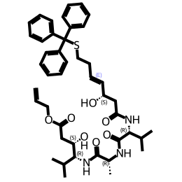 C=CCOC(=O)C[C@H](O)[C@H](NC(=O)[C@@H](C)NC(=O)[C@H](NC(=O)C[C@H](O)/C=C/CCSC(c1ccccc1)(c1ccccc1)c1ccccc1)C(C)C)C(C)C